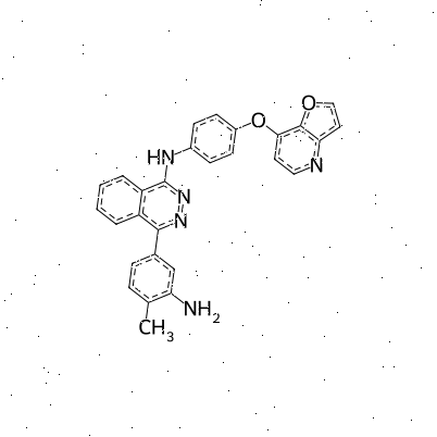 Cc1ccc(-c2nnc(Nc3ccc(Oc4ccnc5ccoc45)cc3)c3ccccc23)cc1N